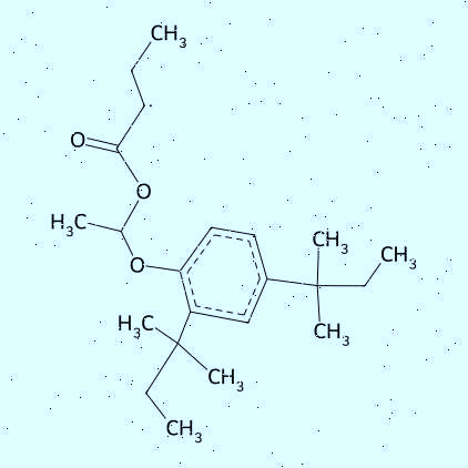 CC[CH]C(=O)OC(C)Oc1ccc(C(C)(C)CC)cc1C(C)(C)CC